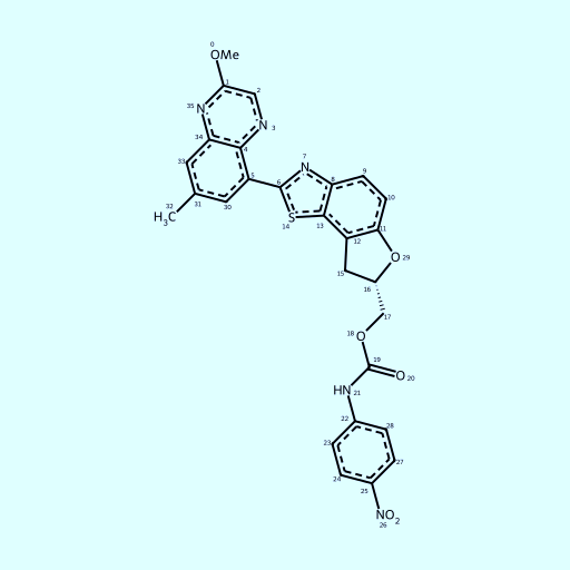 COc1cnc2c(-c3nc4ccc5c(c4s3)C[C@@H](COC(=O)Nc3ccc([N+](=O)[O-])cc3)O5)cc(C)cc2n1